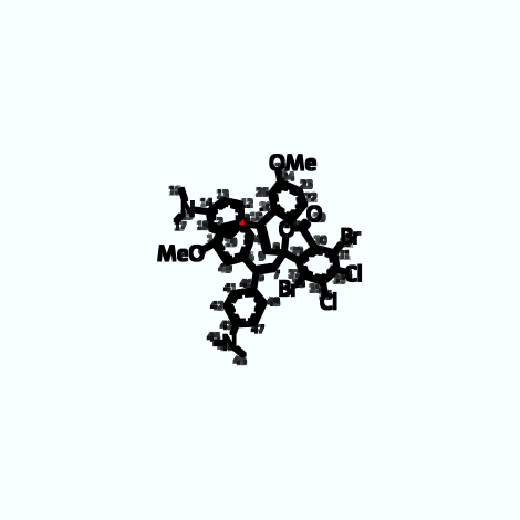 COc1cccc(/C(=C\C2(/C=C(/c3ccc(N(C)C)cc3)c3cccc(OC)c3)OC(=O)c3c(Br)c(Cl)c(Cl)c(Br)c32)c2ccc(N(C)C)cc2)c1